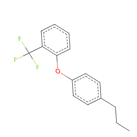 [CH2]CCc1ccc(Oc2ccccc2C(F)(F)F)cc1